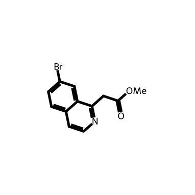 COC(=O)Cc1nccc2ccc(Br)cc12